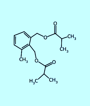 Cc1cccc(COC(=O)C(C)C)c1COC(=O)C(C)C